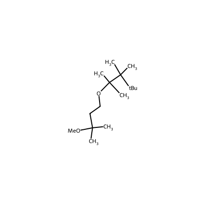 COC(C)(C)CCOC(C)(C)C(C)(C)C(C)(C)C